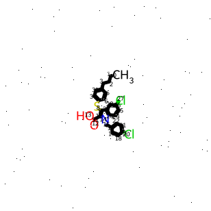 CCCCc1ccc(Sc2c(C(=O)O)n(Cc3ccc(Cl)cc3)c3ccc(Cl)cc23)cc1